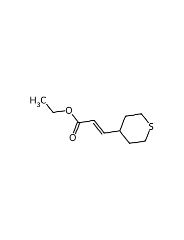 CCOC(=O)C=CC1CCSCC1